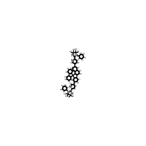 CC1(C)N=C(c2ccc(-c3ccc4c(c3)C(c3ccccc3)(c3ccccc3)c3c-4ccc4cc(-c5ccc(C6=NC(C)(C)C(C)(C)N6c6ccccc6)nc5)ccc34)cn2)N(c2ccccc2)C1(C)C